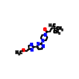 COCC1=NC(c2ccnc(N3CCN(C(=O)CCC(C)(C)C)CC3)n2)=NC1